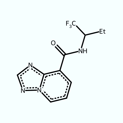 CCC(NC(=O)c1cccn2ncnc12)C(F)(F)F